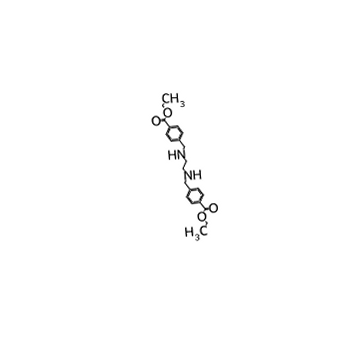 CCOC(=O)c1ccc(CNCCNCc2ccc(C(=O)OCC)cc2)cc1